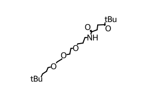 CC(C)(C)CCCOCCOCCOCCCNC(=O)CCC(=O)C(C)(C)C